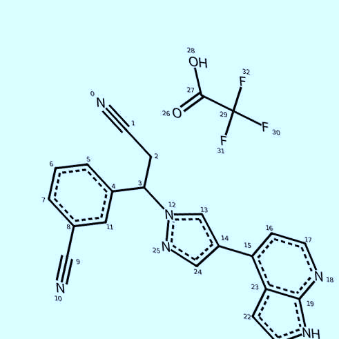 N#CCC(c1cccc(C#N)c1)n1cc(-c2ccnc3[nH]ccc23)cn1.O=C(O)C(F)(F)F